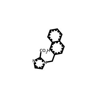 O=C(O)c1nccn1Cc1ccc2ccccc2c1